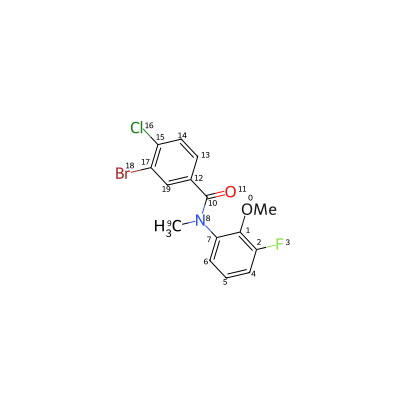 COc1c(F)cccc1N(C)C(=O)c1ccc(Cl)c(Br)c1